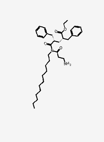 CCCCCCCCCCCCN(C(=O)CCN)C(=O)[C@H](Cc1ccccc1)C[C@@H](Cc1ccccc1)C(=O)OCC